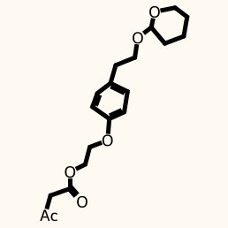 CC(=O)CC(=O)OCCOc1ccc(CCOC2CCCCO2)cc1